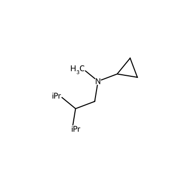 CC(C)C(CN(C)C1CC1)C(C)C